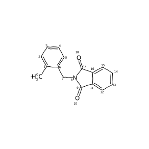 [CH2]c1ccccc1CN1C(=O)c2ccccc2C1=O